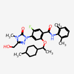 Cc1cccc(C)c1NC(=O)c1cc(F)c(-n2nc(CO)n(C)c2=O)cc1OC(C)C1CCC(C)CC1